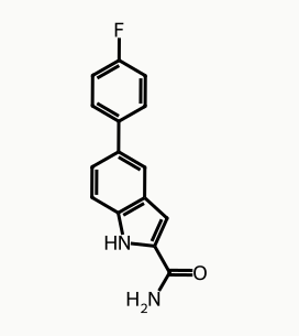 NC(=O)c1cc2cc(-c3ccc(F)cc3)ccc2[nH]1